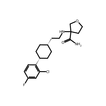 NC(=O)C1(NCC[C@H]2CC[C@@H](c3ccc(F)cc3Cl)CC2)CCOC1